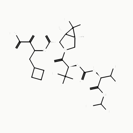 CC(C)NC(=O)[C@@H](NC(=O)N[C@H](C(=O)N1C[C@H]2[C@@H]([C@H]1C(=O)NC(CC1CCC1)C(=O)C(N)=O)C2(C)C)C(C)(C)C)C(C)C